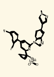 Cn1cc(-c2ccc3c(c2)ncn3-c2cc(-c3ccc(F)cc3F)cc(C3(N[SH](=O)=O)CC3)n2)cn1